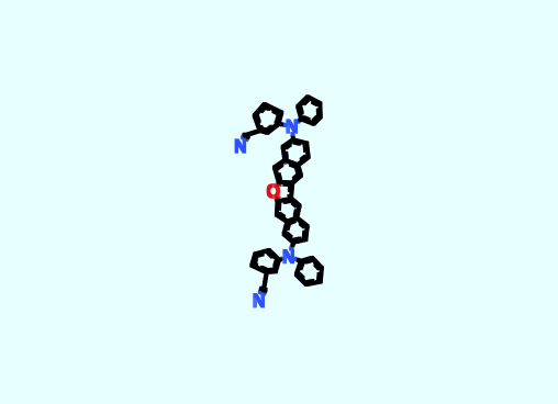 N#Cc1cccc(N(c2ccccc2)c2ccc3cc4c(cc3c2)oc2cc3cc(N(c5ccccc5)c5cccc(C#N)c5)ccc3cc24)c1